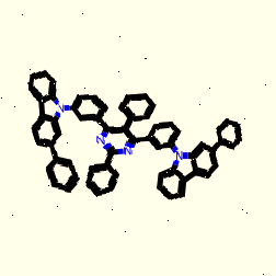 c1ccc(-c2ccc3c4ccccc4n(-c4cccc(-c5nc(-c6ccccc6)nc(-c6cccc(-n7c8ccccc8c8ccc(-c9ccccc9)cc87)c6)c5-c5ccccc5)c4)c3c2)cc1